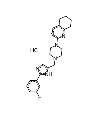 Cl.Fc1cccc(-c2ncc(CN3CCN(c4ncc5c(n4)CCCC5)CC3)[nH]2)c1